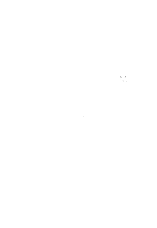 CC=CCCCCOC